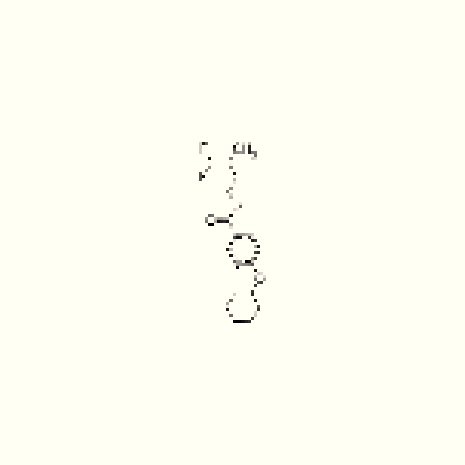 CC(CCOC(=O)c1ccc(OC2CCCCC2)nc1)=C(F)F